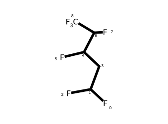 FC(F)CC(F)C(F)C(F)(F)F